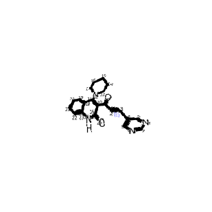 O=C(/C=C/c1cncnc1)c1c(N2CCCCC2)c2ccccc2[nH]c1=O